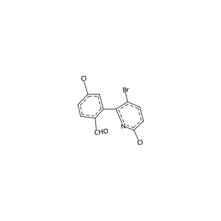 O=Cc1ccc(Cl)cc1-c1nc(Cl)ccc1Br